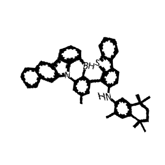 Cc1cc(-c2c(Nc3cc4c(cc3C)C(C)(C)CCC4(C)C)ccc3c2sc2ccccc23)c2c(c1)-n1c3cc4ccccc4cc3c3cccc(c31)B2